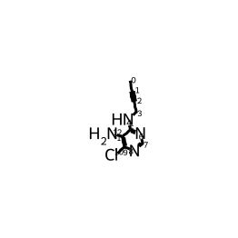 CC#CCNc1ncnc(Cl)c1N